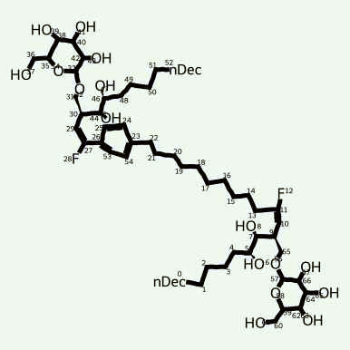 CCCCCCCCCCCCCC[C@@H](O)[C@@H](O)[C@@H](/C=C(/F)CCCCCCCCCCc1ccc(/C(F)=C\[C@@H](COC2OC(CO)C(O)C(O)C2O)[C@H](O)[C@H](O)CCCCCCCCCCCCCC)cc1)COC1OC(CO)C(O)C(O)C1O